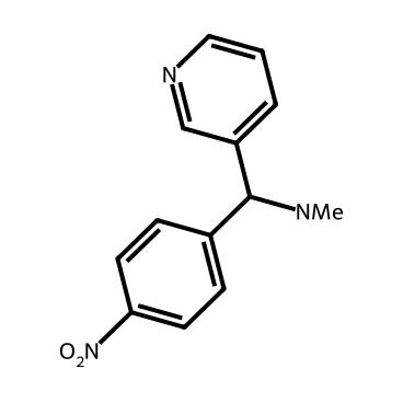 CNC(c1ccc([N+](=O)[O-])cc1)c1cccnc1